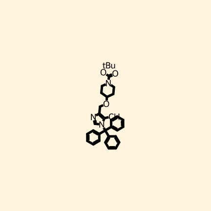 Cc1c(COC2CCN(C(=O)OC(C)(C)C)CC2)ncn1C(c1ccccc1)(c1ccccc1)c1ccccc1